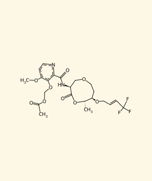 COc1ccnc(C(=O)N[C@H]2COCC[C@@H](OC/C=C/C(F)(F)F)[C@H](C)OC2=O)c1OCOC(C)=O